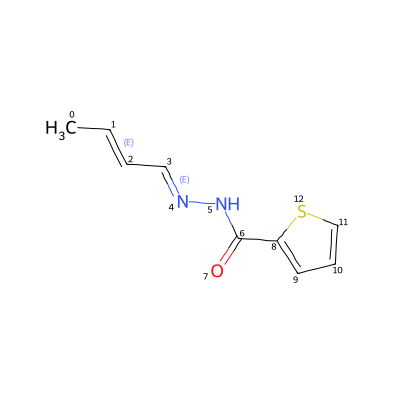 C/C=C/C=N/NC(=O)c1cccs1